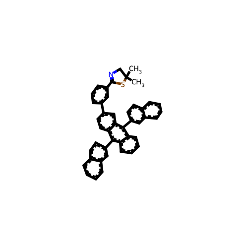 CC1(C)CN=C(c2cccc(-c3ccc4c(-c5ccc6ccccc6c5)c5ccccc5c(-c5ccc6ccccc6c5)c4c3)c2)S1